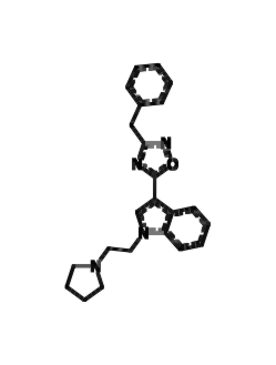 c1ccc(Cc2noc(-c3cn(CCN4CCCC4)c4ccccc34)n2)cc1